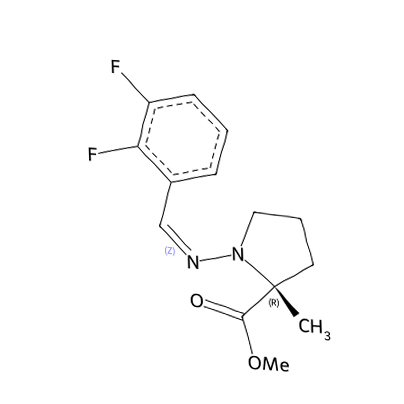 COC(=O)[C@@]1(C)CCCN1/N=C\c1cccc(F)c1F